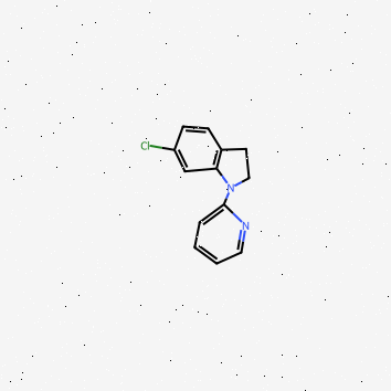 Clc1ccc2c(c1)N(c1ccccn1)CC2